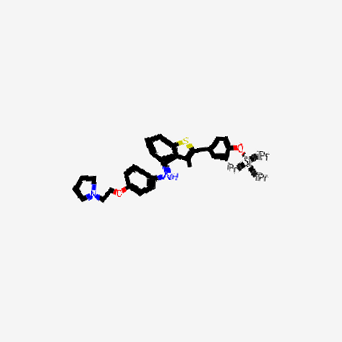 Cc1c(-c2ccc(O[Si](C(C)C)(C(C)C)C(C)C)cc2)sc2cccc(Nc3ccc(OCCN4CCCC4)cc3)c12